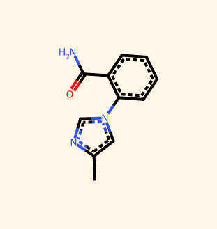 Cc1cn(-c2ccccc2C(N)=O)cn1